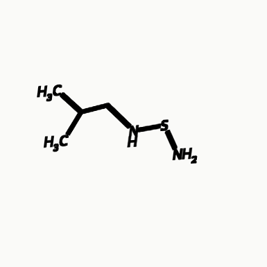 CC(C)CNSN